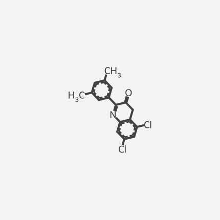 Cc1cc(C)cc(C2=Nc3cc(Cl)cc(Cl)c3CC2=O)c1